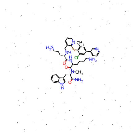 Cc1cc(-c2cccnc2)cc(Cl)c1Sc1ncccc1CN[C@@H](CCCN)C(=O)N[C@@H](CCCCN)C(=O)N(C)[C@@H](Cc1c[nH]c2ccccc12)C(N)=O